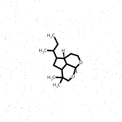 CCC(C)C1CC2C3[C@H](OCC[C@@H]13)OCC2(C)C